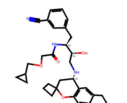 CCc1ccc2c(c1)[C@@H](NC[C@H](O)[C@H](Cc1cccc(C#N)c1)NC(=O)COCC1CC1)CC1(CCC1)O2